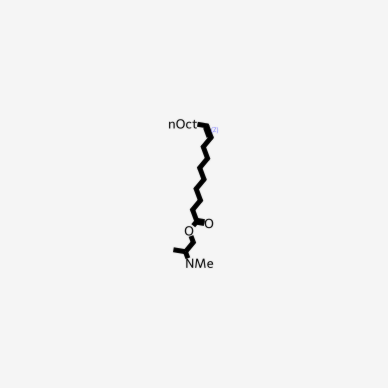 CCCCCCCC/C=C\CCCCCCCC(=O)OCC(C)NC